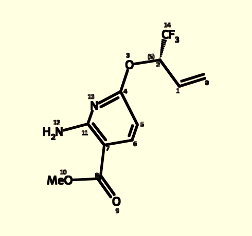 C=C[C@H](Oc1ccc(C(=O)OC)c(N)n1)C(F)(F)F